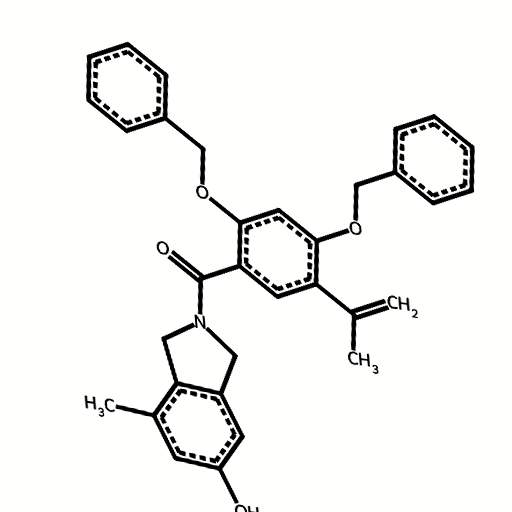 C=C(C)c1cc(C(=O)N2Cc3cc(O)cc(C)c3C2)c(OCc2ccccc2)cc1OCc1ccccc1